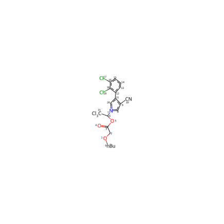 CCCCOCC(=O)OC(n1cc(C#N)c(-c2cccc(Cl)c2Cl)c1)C(Cl)(Cl)Cl